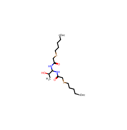 CCCCCCCCCCCCCCSCC(=O)NC(NC(=O)CSCCCCCCCCCCCCCC)C(C)O